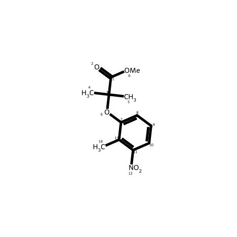 COC(=O)C(C)(C)Oc1cccc([N+](=O)[O-])c1C